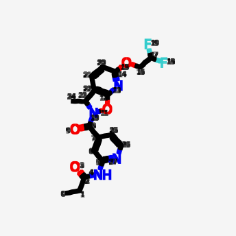 CCC(=O)Nc1cc(C(=O)N2Oc3nc(OCC(F)F)ccc3C2C)ccn1